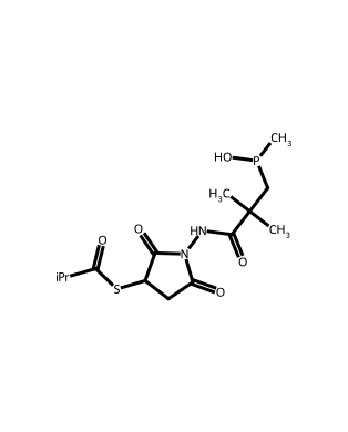 CC(C)C(=O)SC1CC(=O)N(NC(=O)C(C)(C)CP(C)O)C1=O